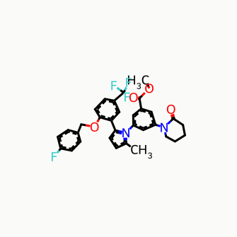 COC(=O)c1cc(N2CCCCC2=O)cc(-n2c(C)ccc2-c2cc(C(F)(F)F)ccc2OCc2ccc(F)cc2)c1